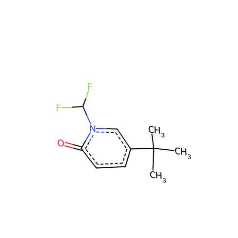 CC(C)(C)c1ccc(=O)n(C(F)F)c1